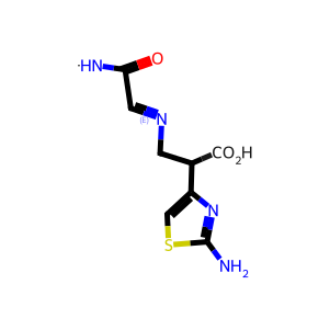 [NH]C(=O)/C=N/CC(C(=O)O)c1csc(N)n1